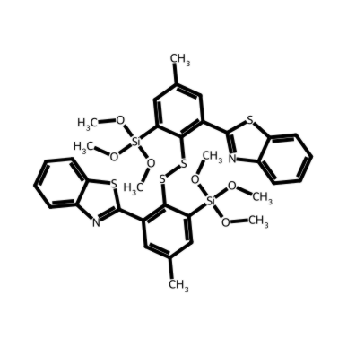 CO[Si](OC)(OC)c1cc(C)cc(-c2nc3ccccc3s2)c1SSc1c(-c2nc3ccccc3s2)cc(C)cc1[Si](OC)(OC)OC